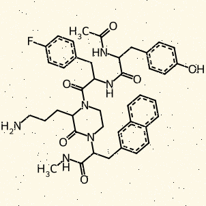 CNC(=O)C(Cc1ccc2ccccc2c1)N1CCN(C(=O)C(Cc2ccc(F)cc2)NC(=O)C(Cc2ccc(O)cc2)NC(C)=O)C(CCCN)C1=O